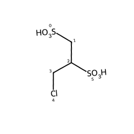 O=S(=O)(O)CC(CCl)S(=O)(=O)O